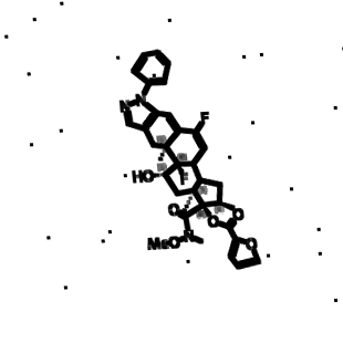 CON(C)C(=O)[C@@]1(OC(=O)c2ccco2)[C@H](C)CC2C3C=C(F)C4=Cc5c(cnn5-c5ccccc5)C[C@]4(C)[C@@]3(F)[C@@H](O)C[C@@]21C